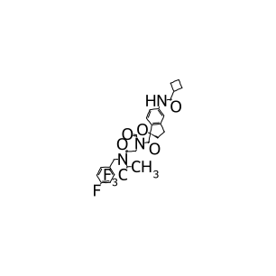 C[C@H](N(Cc1ccc(F)cc1)C(=O)CN1C(=O)O[C@@]2(CCc3cc(NC(=O)C4CCC4)ccc32)C1=O)C(F)(F)F